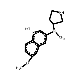 COc1ccc2ncc(N(C)[C@H]3CCNC3)cc2c1.Cl